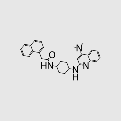 CN(C)c1cc(NC2CCC(NC(=O)Cc3cccc4ccccc34)CC2)nc2ccccc12